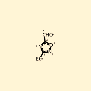 CCc1noc([C]=O)n1